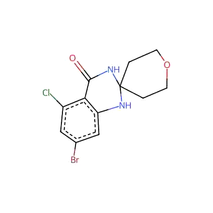 O=C1NC2(CCOCC2)Nc2cc(Br)cc(Cl)c21